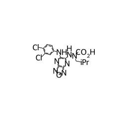 CC(C)CN(Nc1nc2nonc2nc1Nc1ccc(Cl)c(Cl)c1)C(=O)O